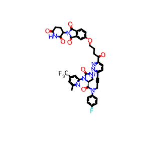 Cc1cc(C(F)(F)F)cc(N2C(=O)NC[C@H]2C(=O)N(CC#Cc2ccc(C(=O)CCCOc3ccc4c(c3)C(=O)N(C3CCC(=O)NC3=O)C4=O)nn2)c2ccc(F)cc2)n1